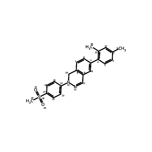 Cc1ccc(-c2ccc3c(c2)C=NN(c2ccc(S(C)(=O)=O)cc2)C3)c(C)c1